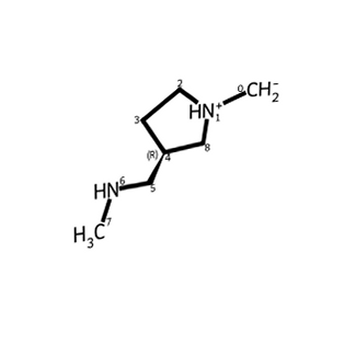 [CH2-][NH+]1CC[C@H](CNC)C1